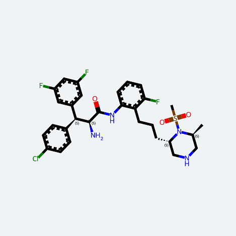 C[C@H]1CNC[C@H](CCCc2c(F)cccc2NC(=O)[C@@H](N)[C@@H](c2ccc(Cl)cc2)c2cc(F)cc(F)c2)N1S(C)(=O)=O